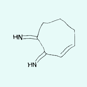 N=C1C=CCCCC1=N